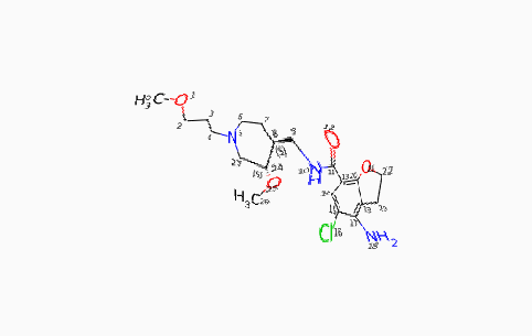 COCCCN1CC[C@@H](CNC(=O)c2cc(Cl)c(N)c3c2OCC3)[C@H](OC)C1